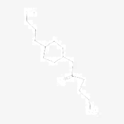 CCCCC(=O)CC1CCC(CCCC)CC1